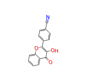 N#Cc1ccc(-c2oc3ccccc3c(=O)c2O)cc1